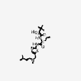 CCC[C@H](NC(=O)[C@@H](O)C(C)(C)C)C(=O)Nc1ncc(CN(C)CCC(C)C)s1